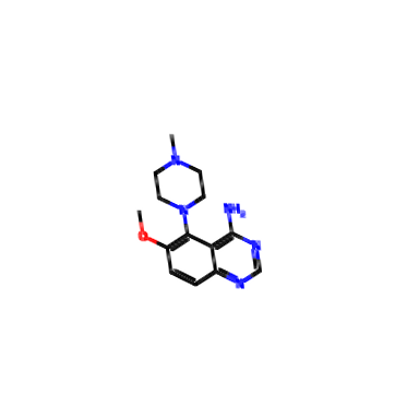 COc1ccc2ncnc(N)c2c1N1CCN(C)CC1